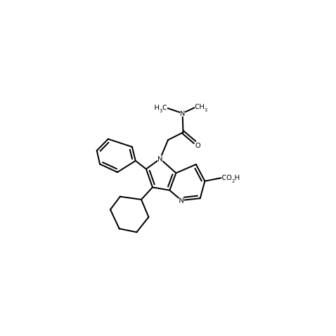 CN(C)C(=O)Cn1c(-c2ccccc2)c(C2CCCCC2)c2ncc(C(=O)O)cc21